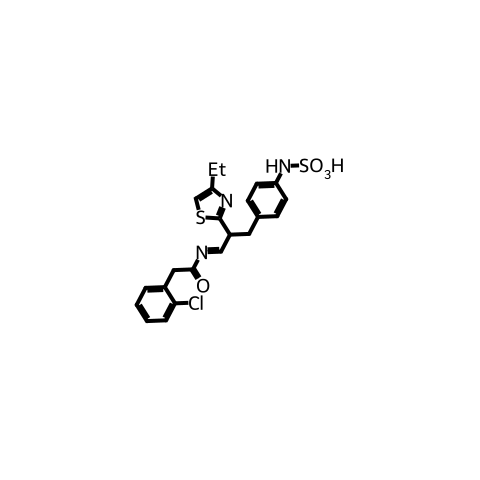 CCc1csc(C(/C=N/C(=O)Cc2ccccc2Cl)Cc2ccc(NS(=O)(=O)O)cc2)n1